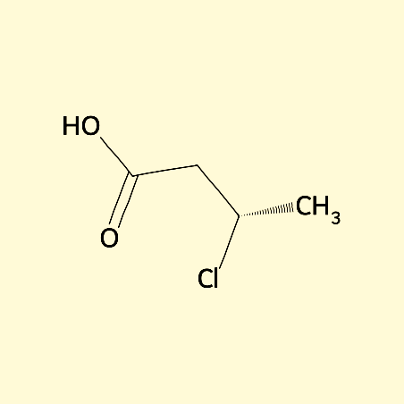 C[C@H](Cl)CC(=O)O